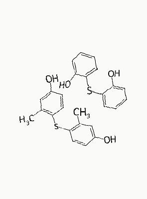 Cc1cc(O)ccc1Sc1ccc(O)cc1C.Oc1ccccc1Sc1ccccc1O